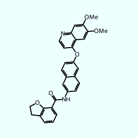 COc1cc2nccc(Oc3ccc4cc(NC(=O)c5cccc6c5OCC6)ccc4c3)c2cc1OC